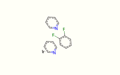 Fc1ccccc1F.[Ir].c1ccncc1.c1ccncc1